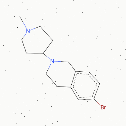 CN1CCC(N2CCc3cc(Br)ccc3C2)CC1